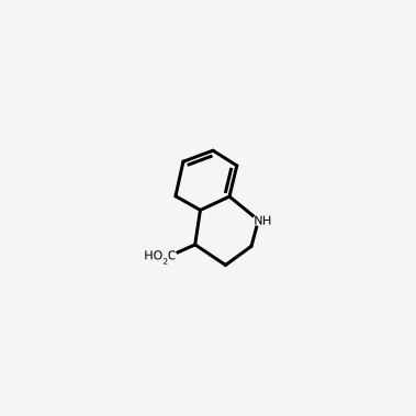 O=C(O)C1CCNC2=CC=CCC21